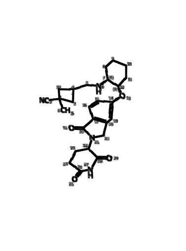 CC1(C#N)CC(CN[C@H]2CCCC[C@H]2Oc2ccc3c(c2)CN(C2CCC(=O)NC2=O)C3=O)C1